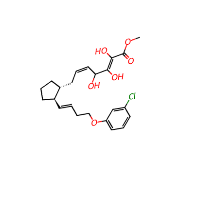 COC(=O)/C(O)=C(\O)C(O)/C=C\C[C@H]1CCC[C@@H]1/C=C/CCOc1cccc(Cl)c1